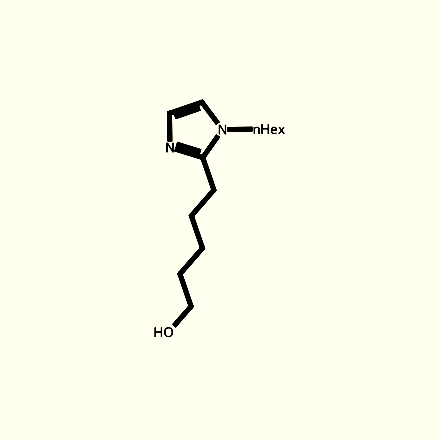 [CH2]CCCCCn1ccnc1CCCCCO